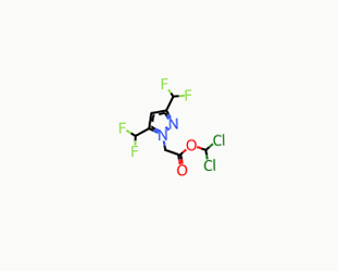 O=C(Cn1nc(C(F)F)cc1C(F)F)OC(Cl)Cl